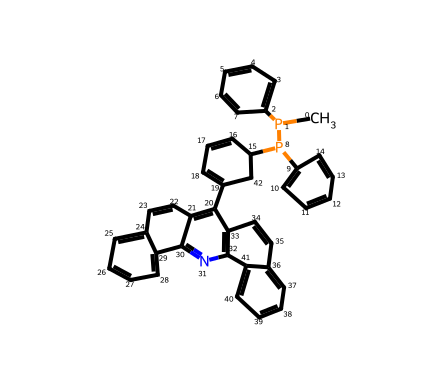 CP(c1ccccc1)P(c1ccccc1)C1C=CC=C(c2c3ccc4ccccc4c3nc3c2ccc2ccccc23)C1